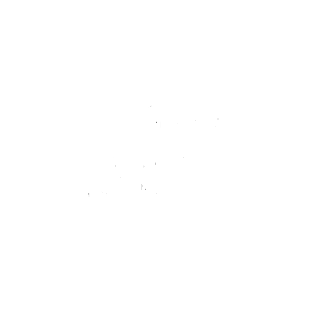 CC(CCC(=O)O)c1cc(C(N)C(=O)OC(C)(C)C)ccc1[N+](=O)[O-]